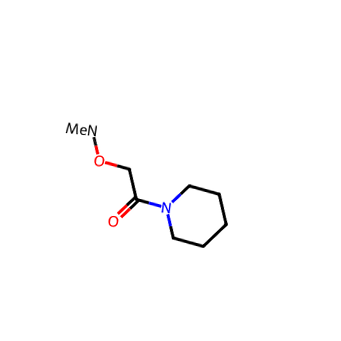 CNOCC(=O)N1CCCCC1